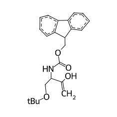 C=C(O)C(COC(C)(C)C)NC(=O)OCC1c2ccccc2-c2ccccc21